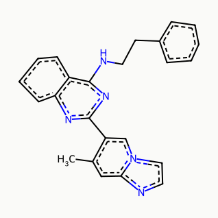 Cc1cc2nccn2cc1-c1nc(NCCc2ccccc2)c2ccccc2n1